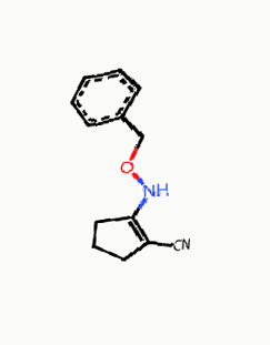 N#CC1=C(NOCc2ccccc2)CCC1